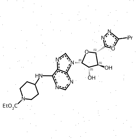 CCOC(=O)N1CCC(Nc2ncnc3c2ncn3[C@@H]2O[C@H](c3nnc(C(C)C)o3)[C@@H](O)[C@@H]2O)CC1